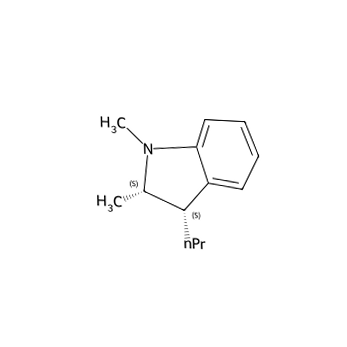 CCC[C@H]1c2ccccc2N(C)[C@H]1C